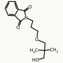 CC(C)(CO)COCCCN1C(=O)c2ccccc2C1=O